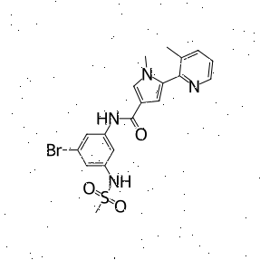 Cc1cccnc1-c1cc(C(=O)Nc2cc(Br)cc(NS(C)(=O)=O)c2)cn1C